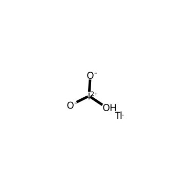 [O-][I+2]([O-])O.[Tl]